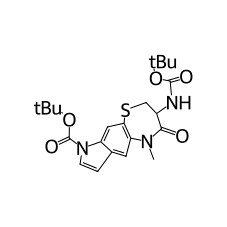 CN1C(=O)C(NC(=O)OC(C)(C)C)CSc2cc3c(ccn3C(=O)OC(C)(C)C)cc21